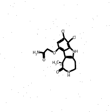 C[C@@H]1C(=O)NCCc2[nH]c3c(Cl)c(Cl)cc(OCC(N)=O)c3c21